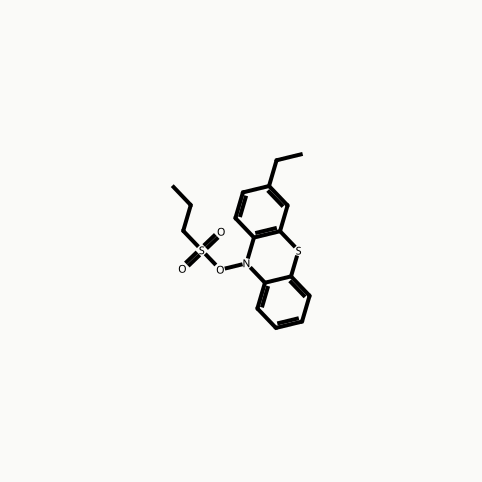 CCCS(=O)(=O)ON1c2ccccc2Sc2cc(CC)ccc21